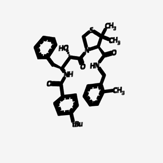 Cc1ccccc1CNC(=O)[C@H]1N(C(=O)[C@@H](O)[C@H](Cc2ccccc2)NC(=O)c2ccc(C(C)(C)C)cc2)CSC1(C)C